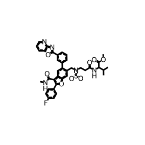 CNC(=O)c1c(-c2ccc(F)cc2)oc2cc(CN(CCC(=O)NC(C(=O)OC)C(C)C)[SH](=O)=O)c(-c3cccc(-c4nc5ncccc5o4)c3)cc12